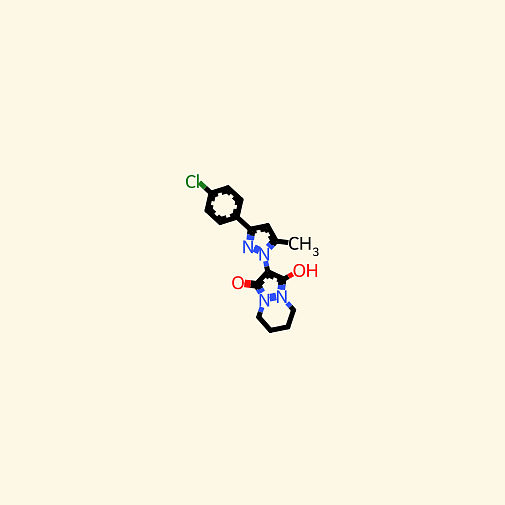 Cc1cc(-c2ccc(Cl)cc2)nn1-c1c(O)n2n(c1=O)CCCC2